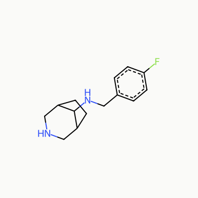 Fc1ccc(CNC2C3CCC2CNC3)cc1